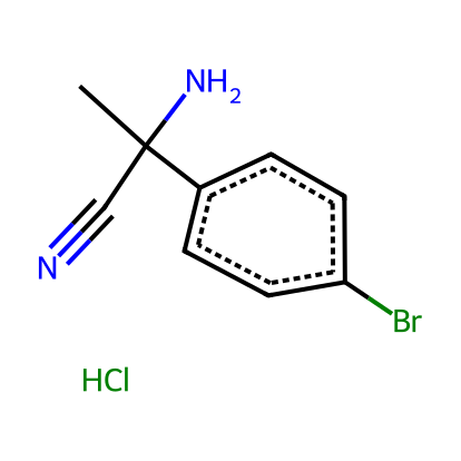 CC(N)(C#N)c1ccc(Br)cc1.Cl